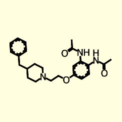 CC(=O)Nc1ccc(OCCN2CCC(Cc3ccccc3)CC2)cc1NC(C)=O